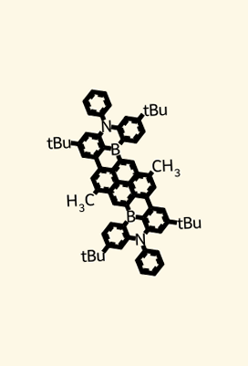 Cc1cc2c3c(cc4c(C)cc5c6c(cc1c3c46)B1c3ccc(C(C)(C)C)cc3N(c3ccccc3)c3cc(C(C)(C)C)cc-5c31)B1c3ccc(C(C)(C)C)cc3N(c3ccccc3)c3cc(C(C)(C)C)cc-2c31